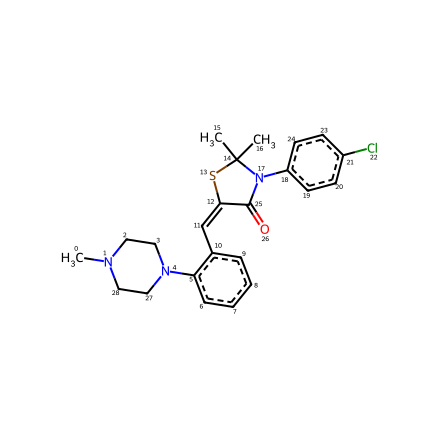 CN1CCN(c2ccccc2C=C2SC(C)(C)N(c3ccc(Cl)cc3)C2=O)CC1